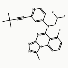 Cc1nnc2nc(N(CC(F)F)c3ccnc(C#CC(C)(C)C)c3)c3c(F)cccc3n12